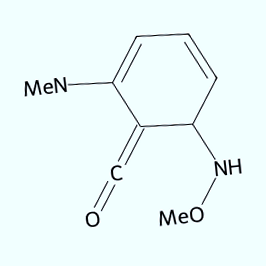 CNC1=CC=CC(NOC)C1=C=O